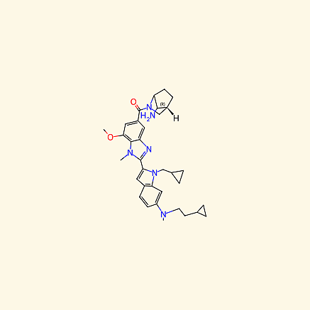 COc1cc(C(=O)N2C[C@H]3CCC2C3N)cc2nc(-c3cc4ccc(N(C)CCC5CC5)cc4n3CC3CC3)n(C)c12